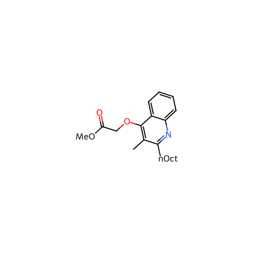 CCCCCCCCc1nc2ccccc2c(OCC(=O)OC)c1C